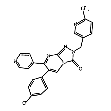 O=c1n(Cc2ccc(C(F)(F)F)nc2)nc2nc(-c3ccncc3)c(-c3ccc(Cl)cc3)cn12